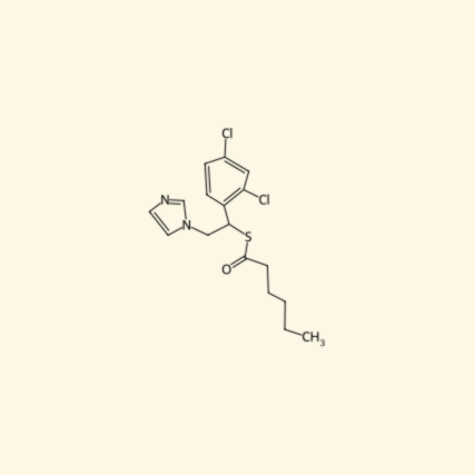 CCCCCC(=O)SC(Cn1ccnc1)c1ccc(Cl)cc1Cl